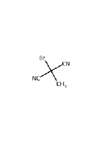 CC(Br)(C#N)C#N